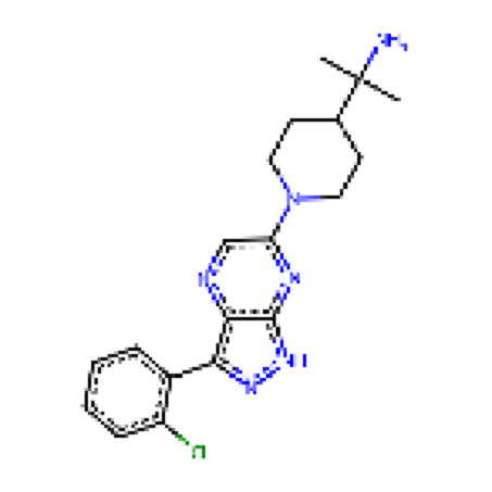 CC(C)(N)C1CCN(c2cnc3c(-c4ccccc4Cl)n[nH]c3n2)CC1